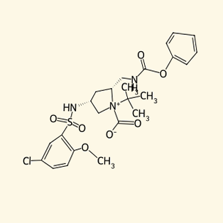 COc1ccc(Cl)cc1S(=O)(=O)N[C@@H]1C[C@H](CNC(=O)Oc2ccccc2)[N+](C(=O)[O-])(C(C)(C)C)C1